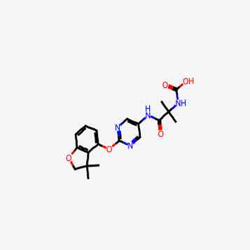 CC(C)(NC(=O)O)C(=O)Nc1cnc(Oc2cccc3c2C(C)(C)CO3)nc1